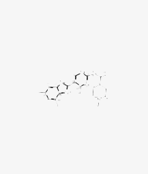 CCC(Nc1ncc(-c2nc3c(C)cc(C)cc3[nH]2)c(C)n1)C1CCN(C)CC1